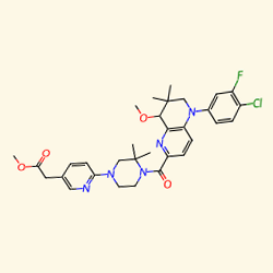 COC(=O)Cc1ccc(N2CCN(C(=O)c3ccc4c(n3)C(OC)C(C)(C)CN4c3ccc(Cl)c(F)c3)C(C)(C)C2)nc1